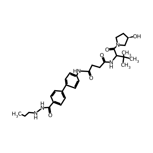 CCCNNC(=O)c1ccc(-c2ccc(NC(=O)CCC(=O)NC(C(=O)N3CC[C@@H](O)C3)C(C)(C)C)cc2)cc1